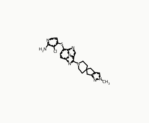 Cn1cc2c(n1)CC1(CCN(c3nc4ccc(Sc5ccnc(N)c5Cl)c5ncc3n45)CC1)C2